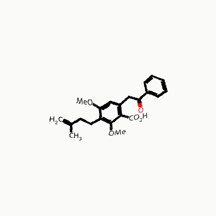 C=C(C)CCc1c(OC)cc(CC(=O)c2ccccc2)c(C(=O)O)c1OC